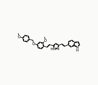 COc1ccc(COc2ccc(/C=C/c3cc(/C=C/c4ccc5cc[nH]c5c4)n[nH]3)c(OC)c2)cc1